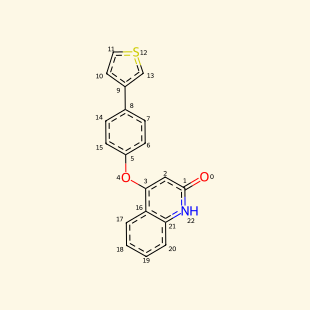 O=c1cc(Oc2ccc(-c3ccsc3)cc2)c2ccccc2[nH]1